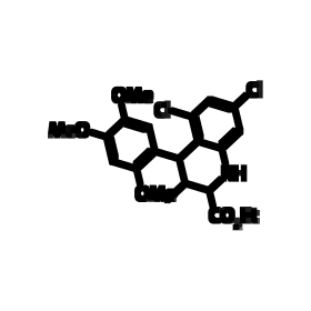 CCOC(=O)C1Nc2cc(Cl)cc(Cl)c2C(c2cc(OC)c(OC)cc2OC)C1C